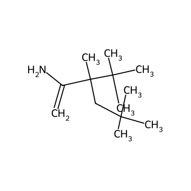 C=C(N)C(C)(CC(C)(C)C)C(C)(C)C